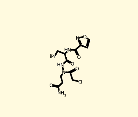 CC(C)CC(NC(=O)c1ccon1)C(=O)NN(CCC(N)=O)C(=O)CCl